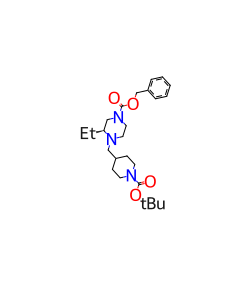 CC[C@H]1CN(C(=O)OCc2ccccc2)CCN1CC1CCN(C(=O)OC(C)(C)C)CC1